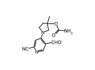 CC1(OC(N)=O)CCN(c2cc(C#N)ncc2C=O)C1